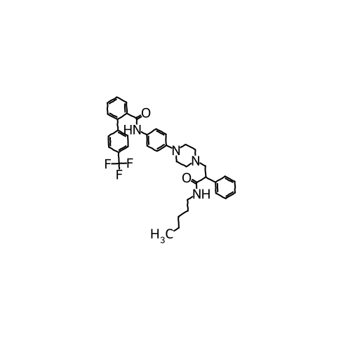 CCCCCNC(=O)C(CN1CCN(c2ccc(NC(=O)c3ccccc3-c3ccc(C(F)(F)F)cc3)cc2)CC1)c1ccccc1